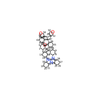 c1ccc([Si](c2ccccc2)(c2cccc(-n3c4ccccc4n4c5ccccc5nc34)c2)c2cccc3c2Oc2ccccc2C3(Cc2ccoc2)Cc2ccoc2)cc1